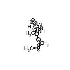 CC#CC(=O)N1CC(C)(N2CCC(c3cc(C)c4c(c3)Nc3ncnc(N5CCS(=O)(=O)CC5)c3[C@@H](C)O4)CC2)C1